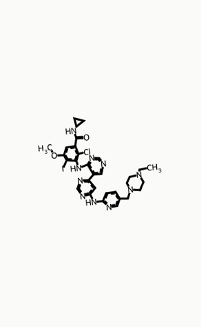 CCN1CCN(Cc2ccc(Nc3cc(-c4cncnc4Nc4c(Cl)c(C(=O)NC5CC5)cc(OC)c4I)ncn3)nc2)CC1